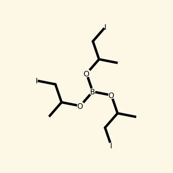 CC(CI)OB(OC(C)CI)OC(C)CI